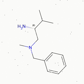 CC(C)[C@@H](N)CN(C)Cc1ccccc1